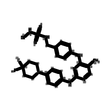 CCNS(=O)(=O)NCc1ccc(Nc2nc(Nc3ccc(N4CCC(F)(F)CC4)cc3)ncc2C)cc1